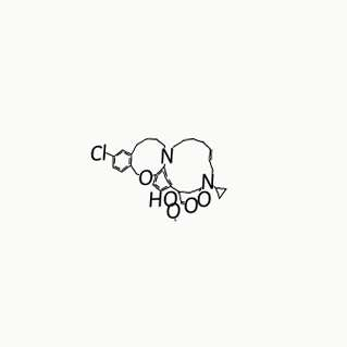 COC(=O)[C@@]1(O)CC(=O)N(C2CC2)C/C=C/CCCCN2CCCCc3cc(Cl)ccc3COc3ccc1cc32